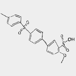 COc1ccc(-c2ccc(S(=O)(=O)c3ccc(C)cc3)cc2)cc1S(=O)(=O)O